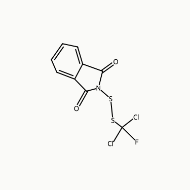 O=C1c2ccccc2C(=O)N1SSC(F)(Cl)Cl